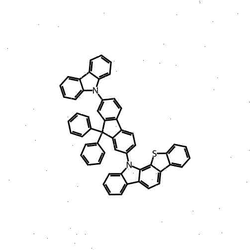 c1ccc(C2(c3ccccc3)c3cc(-n4c5ccccc5c5ccccc54)ccc3-c3ccc(-n4c5ccccc5c5ccc6c7ccccc7sc6c54)cc32)cc1